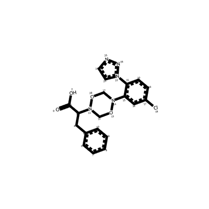 O=C(O)C(Cc1ccccc1)N1CON(c2cc(Cl)ccc2-n2ccnn2)CO1